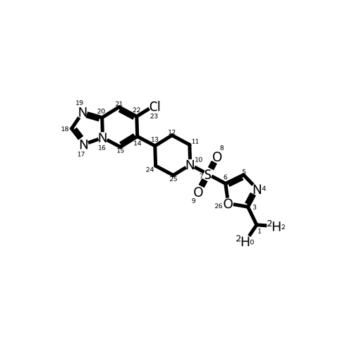 [2H]C([2H])c1ncc(S(=O)(=O)N2CCC(c3cn4ncnc4cc3Cl)CC2)o1